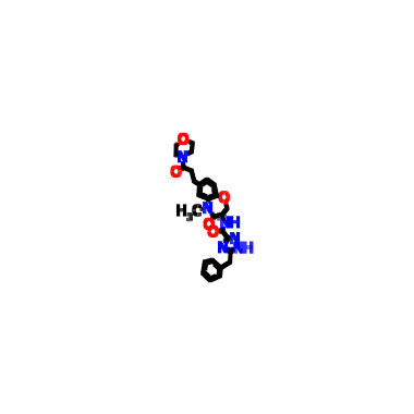 CN1C(=O)[C@H](NC(=O)c2n[nH]c(Cc3ccccc3)n2)COc2ccc(CCC(=O)N3CCOCC3)cc21